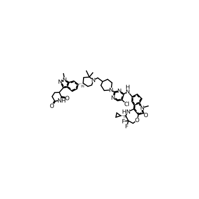 Cn1nc(C2CCC(=O)NC2=O)c2ccc([C@H]3CCN(CC4CCN(c5ncc(Cl)c(Nc6ccc7c(c6)c6c(c(=O)n7C)OCC(F)(F)[C@H](C7CC7)N6)n5)CC4)C(C)(C)C3)cc21